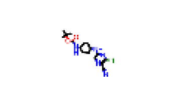 CC(C)(C)OC(=O)NC1CCC(Nc2cnc(C#N)c(Cl)n2)CC1